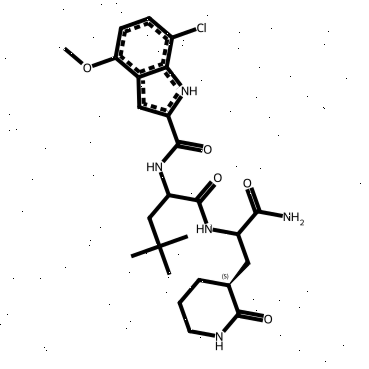 COc1ccc(Cl)c2[nH]c(C(=O)NC(CC(C)(C)C)C(=O)NC(C[C@@H]3CCCNC3=O)C(N)=O)cc12